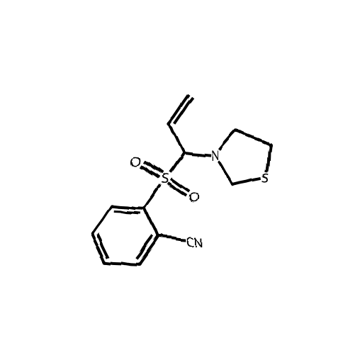 C=CC(N1CCSC1)S(=O)(=O)c1ccccc1C#N